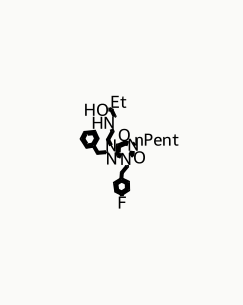 CCCCCn1c(=O)c2c(nc(Cc3ccccc3)n2CCNCC(O)CC)n(CCc2ccc(F)cc2)c1=O